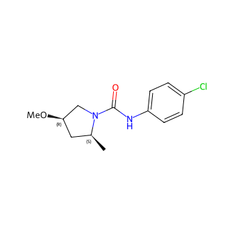 CO[C@@H]1C[C@H](C)N(C(=O)Nc2ccc(Cl)cc2)C1